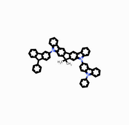 CC1(C)c2cc3c(cc2-c2cc4c5ccccc5n(-c5ccc6c(c5)c5ccccc5n6-c5ccccc5)c4cc21)c1ccccc1n3-c1ccc2c(c1)-c1ccccc1C2c1ccccc1